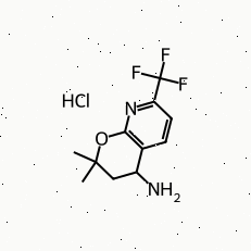 CC1(C)CC(N)c2ccc(C(F)(F)F)nc2O1.Cl